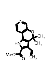 C=Cc1c(C(=O)OC)[nH]c2c1C(C)(C)Oc1cnccc1-2